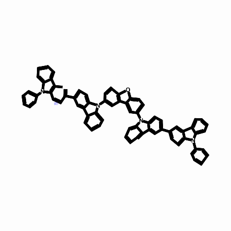 C=C(/C=C\c1c(C)c2ccccc2n1-c1ccccc1)c1ccc2c(c1)c1ccccc1n2-c1ccc2oc3ccc(-n4c5ccccc5c5cc(-c6ccc7c(c6)c6ccccc6n7-c6ccccc6)ccc54)cc3c2c1